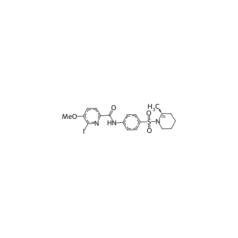 COc1ccc(C(=O)Nc2ccc(S(=O)(=O)N3CCCC[C@@H]3C)cc2)nc1I